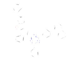 c1ccc(-c2ccc3c(c2)oc2c4ccccc4c(-c4nc(-c5ccccc5)nc(-c5ccc(-c6cccc7ccccc67)cc5)n4)cc32)cc1